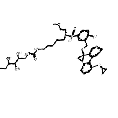 COCCN(CCCCCNC(=O)NCC(O)C(O)C(O)CCO)S(=O)(=O)c1ccc(Cl)c(COC2(c3cnccc3-c3ccccc3OC3CC3)CC2)c1